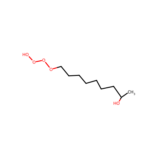 CC(O)CCCCCCCOOOO